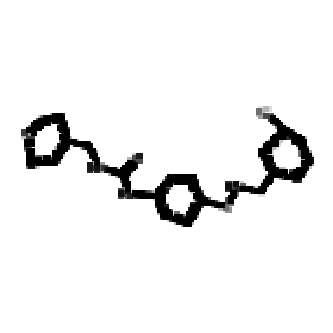 N#Cc1cccc(CNSc2ccc(NC(=O)NCc3ccncc3)cc2)c1